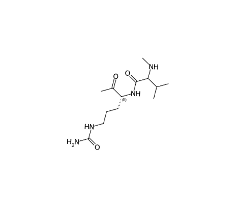 CNC(C(=O)N[C@H](CCCNC(N)=O)C(C)=O)C(C)C